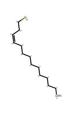 CC(=O)OCCCCCCCCC/C=C\CCBr